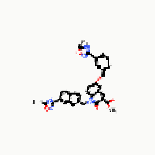 COC(=O)c1cc2cc(OCc3cccc(-c4noc(C)n4)c3)ccc2n(Cc2ccc3ccc(-c4noc(C)n4)cc3c2)c1=O